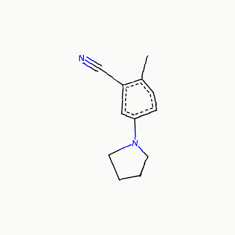 Cc1ccc(N2CCCC2)cc1C#N